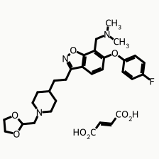 CN(C)Cc1c(Oc2ccc(F)cc2)ccc2c(CCC3CCN(CC4OCCO4)CC3)noc12.O=C(O)C=CC(=O)O